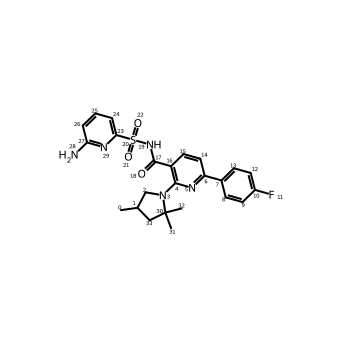 CC1CN(c2nc(-c3ccc(F)cc3)ccc2C(=O)NS(=O)(=O)c2cccc(N)n2)C(C)(C)C1